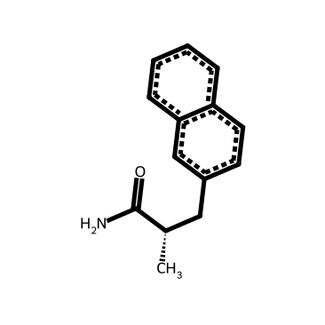 C[C@@H](Cc1ccc2ccccc2c1)C(N)=O